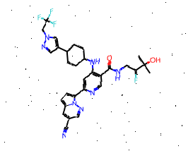 CC(C)(O)C(F)CNC(=O)c1cnc(-c2ccc3cc(C#N)cnn23)cc1NC1CCC(c2cnn(CC(F)(F)F)c2)CC1